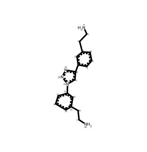 NCCc1cccc(-c2cn(-c3cccc(CCN)c3)nn2)c1